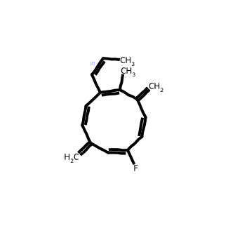 C=c1ccc(/C=C\C)c(C)c(=C)ccc(F)c1